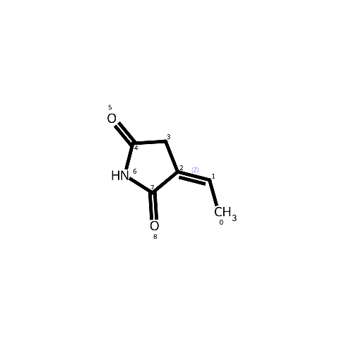 C/C=C1/CC(=O)NC1=O